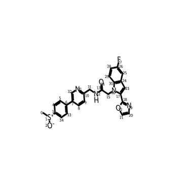 C[S+]([O-])c1ccc(-c2ccc(CNC(=O)Cn3c(-c4ncco4)cc4cc(F)ccc43)nc2)cc1